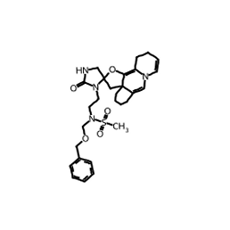 CS(=O)(=O)N(CCN1C(=O)NCC12CC13CCCCC1=CN1C=CCCC1=C3O2)COCc1ccccc1